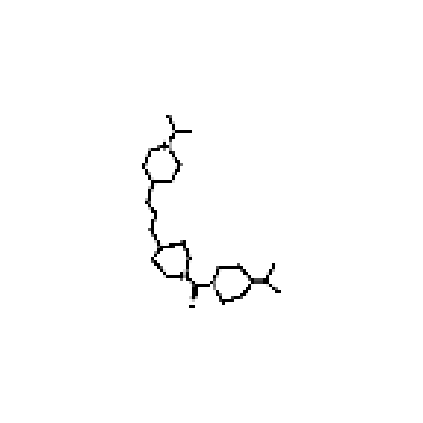 CC(C)C1CCN(C(=O)N2CCC(CCCC3CCN(C(C)C)CC3)CC2)CC1